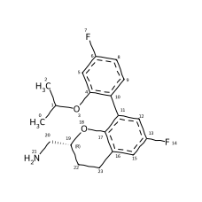 CC(C)Oc1cc(F)ccc1-c1cc(F)cc2c1O[C@@H](CN)CC2